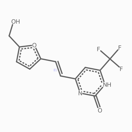 O=c1nc(/C=C/c2ccc(CO)o2)cc(C(F)(F)F)[nH]1